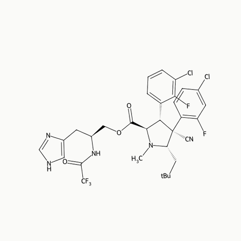 CN1[C@@H](CC(C)(C)C)[C@](C#N)(c2ccc(Cl)cc2F)[C@@H](c2cccc(Cl)c2F)[C@@H]1C(=O)OC[C@H](Cc1c[nH]cn1)NC(=O)C(F)(F)F